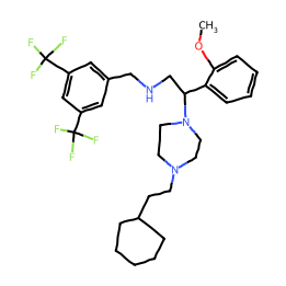 COc1ccccc1C(CNCc1cc(C(F)(F)F)cc(C(F)(F)F)c1)N1CCN(CCC2CCCCC2)CC1